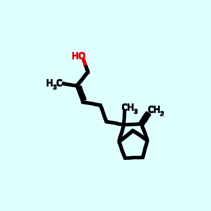 C=C1C2CCC(C2)C1(C)CCC=C(C)CO